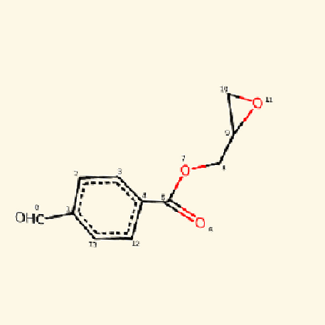 O=Cc1ccc(C(=O)OCC2CO2)cc1